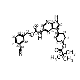 CC(C)(C)C(=O)ON1CC=C(c2c[nH]c3ncc(NC(=O)OCc4cccc(C#N)c4)cc23)CC1